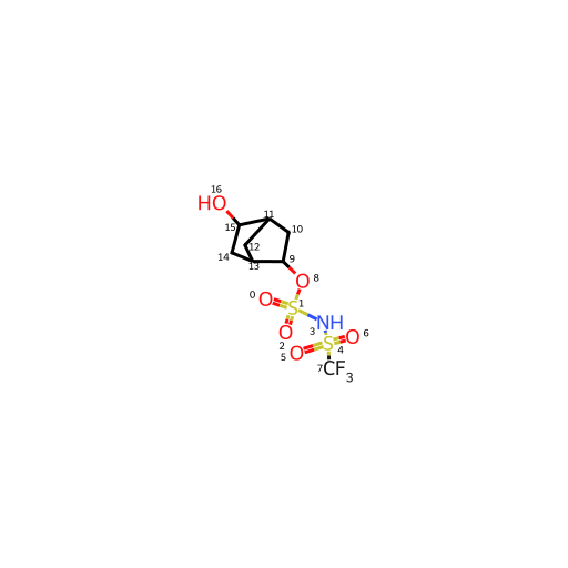 O=S(=O)(NS(=O)(=O)C(F)(F)F)OC1CC2CC1CC2O